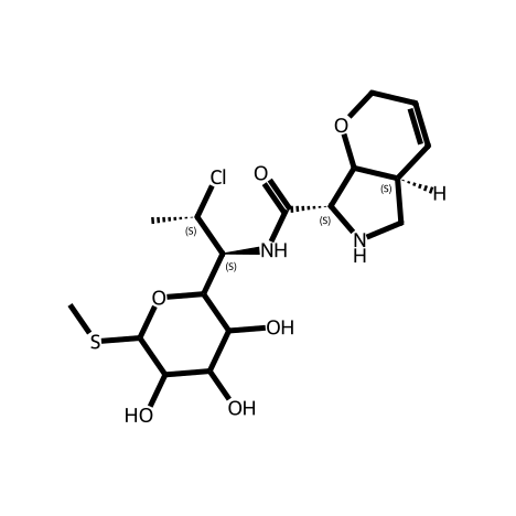 CSC1OC([C@H](NC(=O)[C@H]2NC[C@@H]3C=CCOC23)[C@H](C)Cl)C(O)C(O)C1O